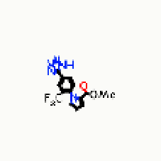 COC(=O)c1cccn1-c1ccc(-c2nnn[nH]2)cc1C(F)(F)F